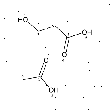 CC(=O)O.O=C(O)CCO